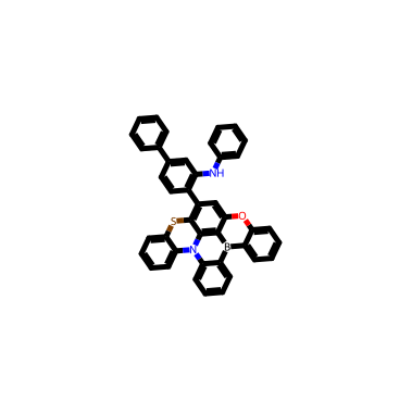 c1ccc(Nc2cc(-c3ccccc3)ccc2-c2cc3c4c5c2Sc2ccccc2N5c2ccccc2B4c2ccccc2O3)cc1